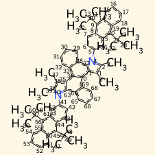 Cc1c(C)n(-c2ccc3c(C(C)(C)C)c4ccccc4c(C(C)(C)C)c3c2)c2c3ccccc3c3c4c(C)c(C)n(-c5ccc6c(C(C)(C)C)c7ccccc7c(C(C)(C)C)c6c5)c4c4ccccc4c3c12